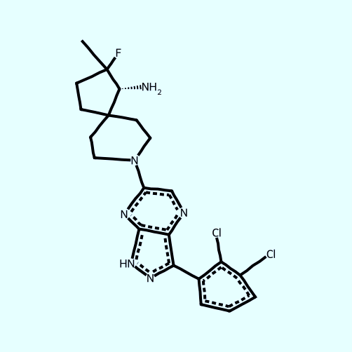 CC1(F)CCC2(CCN(c3cnc4c(-c5cccc(Cl)c5Cl)n[nH]c4n3)CC2)[C@H]1N